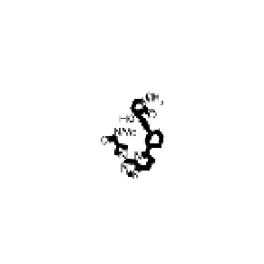 CNC(=O)C1CN(c2ncnc3ccc(-c4cccc(C#CC5(O)CCN(C)C5=O)c4)nc23)C1